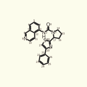 O=C(Nc1cccc2cnccc12)N1CCCC1c1nc(-c2ccccc2)cs1